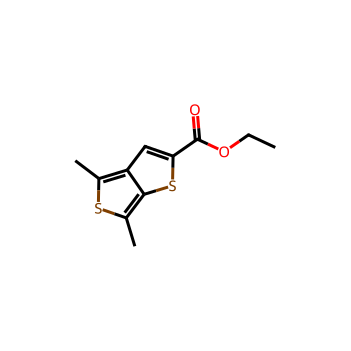 CCOC(=O)c1cc2c(C)sc(C)c2s1